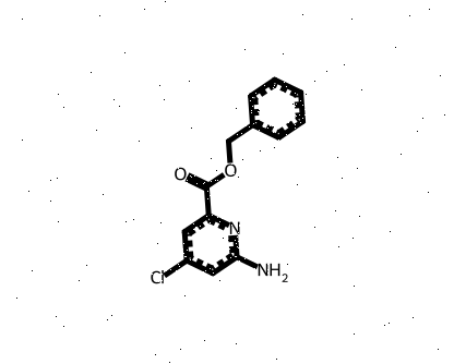 Nc1cc(Cl)cc(C(=O)OCc2ccccc2)n1